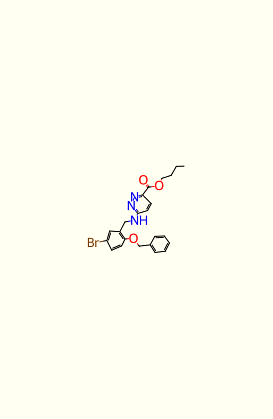 CCCCOC(=O)c1ccc(NCc2cc(Br)ccc2OCc2ccccc2)nn1